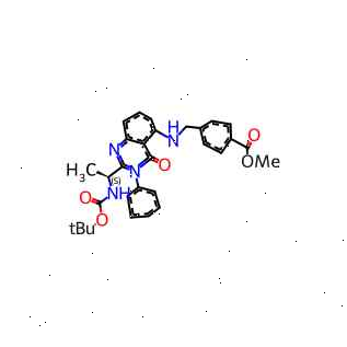 COC(=O)c1ccc(CNc2cccc3nc([C@H](C)NC(=O)OC(C)(C)C)n(-c4ccccc4)c(=O)c23)cc1